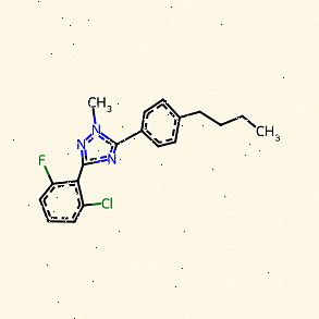 CCCCc1ccc(-c2nc(-c3c(F)cccc3Cl)nn2C)cc1